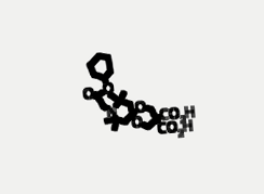 CC1(C)CC2(CC(C)(C)N1CC(=O)OC1CCCCC1)OCC(C(=O)O)(C(=O)O)CO2